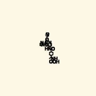 CC(NC(=O)O)C1CCC(C(=O)Nc2ccnc3c2cc(-n2cccn2)n3COCC[Si](C)(C)C)CC1